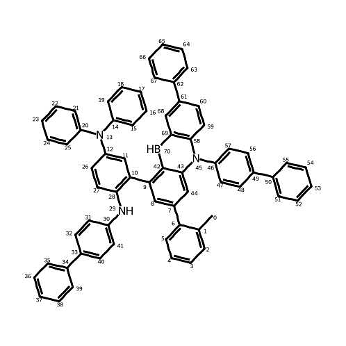 Cc1ccccc1-c1cc(-c2cc(N(c3ccccc3)c3ccccc3)ccc2Nc2ccc(-c3ccccc3)cc2)c2c(c1)N(c1ccc(-c3ccccc3)cc1)c1ccc(-c3ccccc3)cc1B2